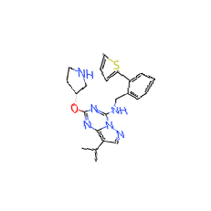 CC(C)c1cnn2c(NCc3ccccc3-c3cccs3)nc(O[C@@H]3CCNC3)nc12